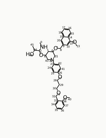 CNC(OC1CC(OCc2cc(OC)c3ccccc3c2)CN(c2ccc(OCCCOCc3ccccc3OC)cc2)C1)C(C)O